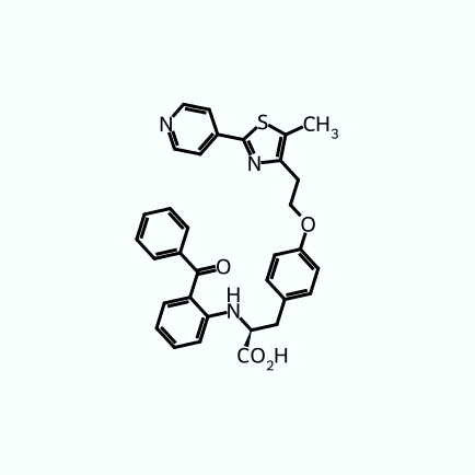 Cc1sc(-c2ccncc2)nc1CCOc1ccc(C[C@H](Nc2ccccc2C(=O)c2ccccc2)C(=O)O)cc1